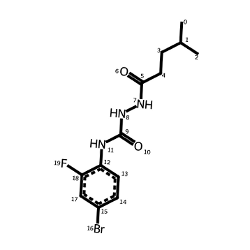 CC(C)CCC(=O)NNC(=O)Nc1ccc(Br)cc1F